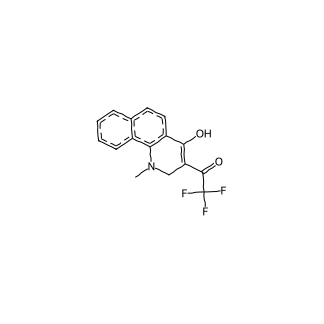 CN1CC(C(=O)C(F)(F)F)=C(O)c2ccc3ccccc3c21